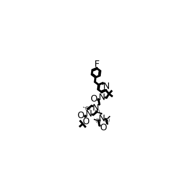 C[C@@H]1CN(CC(=O)N2CC(C)(C)c3ncc(Cc4ccc(F)cc4)cc32)[C@@H](CN2[C@H](C)COC[C@@H]2C)CN1C(=O)OC(C)(C)C